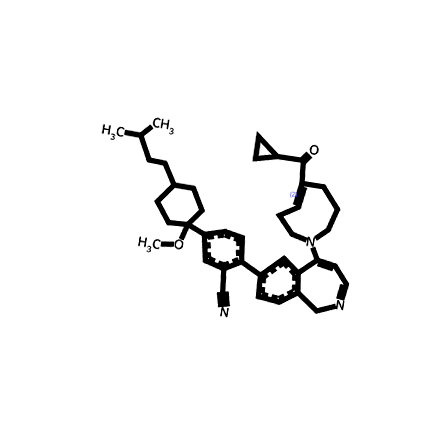 COC1(c2ccc(-c3ccc4c(c3)C(N3CC/C=C(\C(=O)C5CC5)CCC3)=CC=NC4)c(C#N)c2)CCC(CCC(C)C)CC1